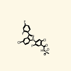 CS(=O)(=O)NC(=O)c1cc(F)c(-n2nc(-c3ccc(F)cc3F)c3cc(Cl)ccc32)cc1Cl